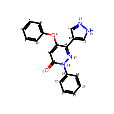 O=c1cc(Oc2ccccc2)c(-c2cn[nH]c2)nn1-c1ccccc1